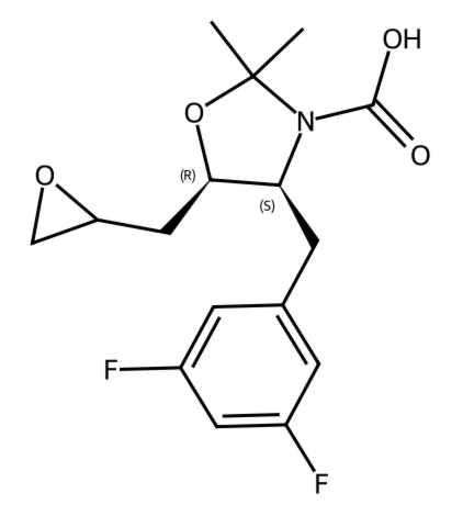 CC1(C)O[C@H](CC2CO2)[C@H](Cc2cc(F)cc(F)c2)N1C(=O)O